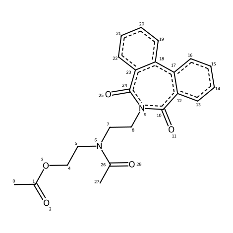 CC(=O)OCCN(CCn1c(=O)c2ccccc2c2ccccc2c1=O)C(C)=O